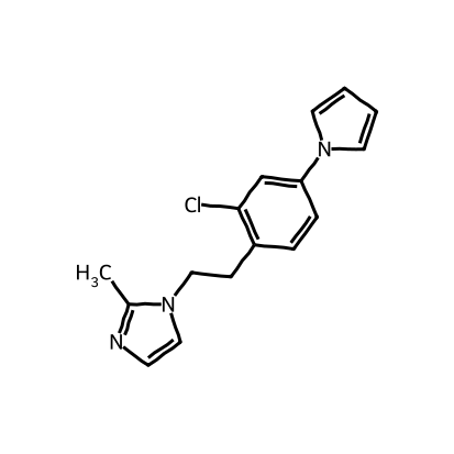 Cc1nccn1CCc1ccc(-n2cccc2)cc1Cl